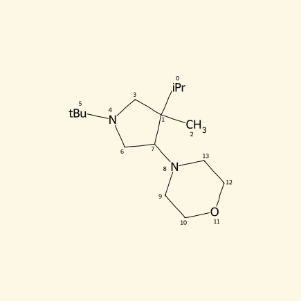 CC(C)C1(C)CN(C(C)(C)C)CC1N1CCOCC1